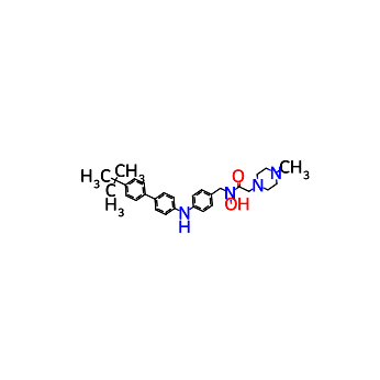 CN1CCN(CC(=O)N(O)Cc2ccc(Nc3ccc(-c4ccc(C(C)(C)C)cc4)cc3)cc2)CC1